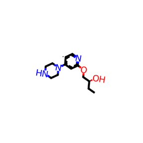 CC[C@H](O)COc1cc(N2CCNCC2)[c]cn1